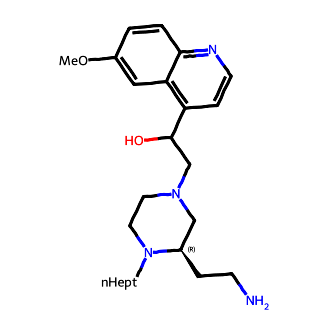 CCCCCCCN1CCN(CC(O)c2ccnc3ccc(OC)cc23)C[C@H]1CCN